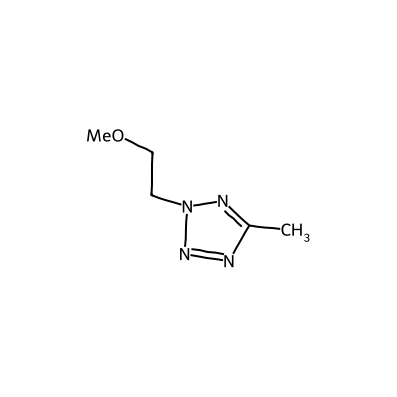 COCCn1nnc(C)n1